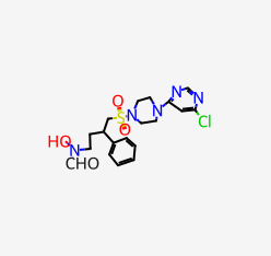 O=CN(O)CCC(CS(=O)(=O)N1CCN(c2cc(Cl)ncn2)CC1)c1ccccc1